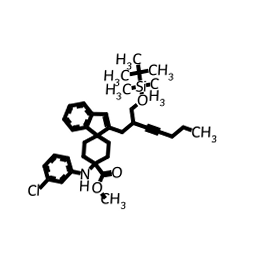 CCCC#CC(CO[Si](C)(C)C(C)(C)C)CC1=Cc2ccccc2C12CCC(Nc1cccc(Cl)c1)(C(=O)OC)CC2